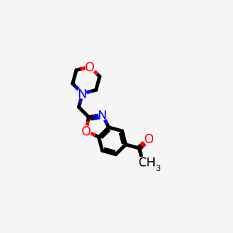 CC(=O)c1ccc2oc(CN3CCOCC3)nc2c1